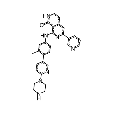 Cc1cc(Nc2nc(-c3cncnc3)cc3cc[nH]c(=O)c23)ccc1-c1ccc(N2CCNCC2)nc1